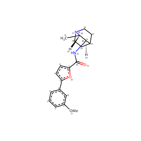 COc1cccc(-c2ccc(C(=O)N[C@@H]3C4CCN(CC4)[C@H]3C)o2)c1